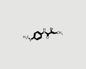 CC=C(Br)C(=O)Nc1ccc(SC)cc1